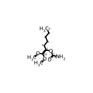 CCCCCC(OC(N)=O)=C(OC)OC